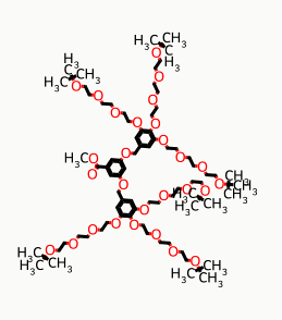 COC(=O)c1cc(OCc2cc(OCCOCCOCCOC(C)(C)C)c(OCCOCCOCCOC(C)(C)C)c(OCCOCCOCCOC(C)(C)C)c2)cc(OCc2cc(OCCOCCOCCOC(C)(C)C)c(OCCOCCOCCOC(C)(C)C)c(OCCOCCOCCOC(C)(C)C)c2)c1